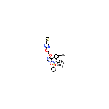 Cc1ccc(-c2c(OCCOc3ncc(-c4cccs4)cn3)ncnc2N(CC(C)C)S(=O)(=O)c2ccccc2)cc1